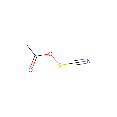 CC(=O)OSC#N